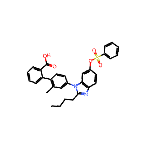 CCCCc1nc2ccc(OS(=O)(=O)c3ccccc3)cc2n1-c1ccc(-c2ccccc2C(=O)O)c(C)c1